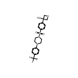 O=S(=O)(c1ccc(C2(O)COC2)cc1)N1CCN(c2ccc(C(F)(F)F)cc2)CC1